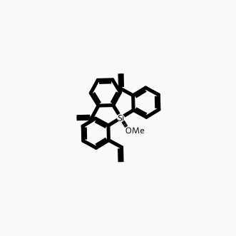 C=Cc1ccccc1[Si](OC)(c1ccccc1C=C)c1ccccc1C=C